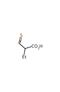 CCC([C]=S)C(=O)O